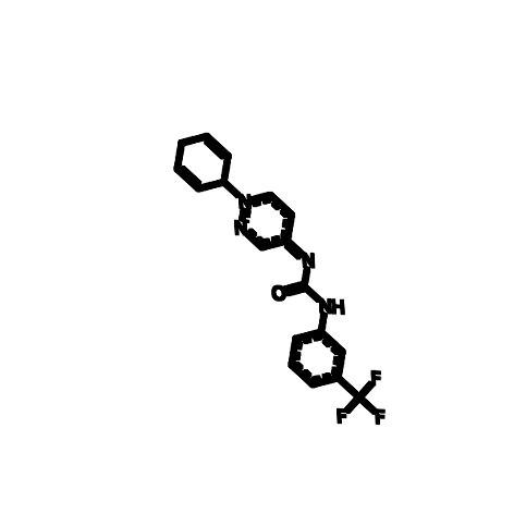 O=C(N=c1ccn(C2C=CCC=C2)nc1)Nc1cccc(C(F)(F)F)c1